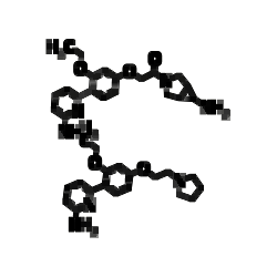 CCOc1cc(OCC(=O)N2CC3C(N)C3C2)ccc1-c1cccc(N)n1.CCOc1cc(OCCN2CCCC2)ccc1-c1cccc(N)n1